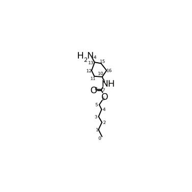 CCCCCCOC(=O)NC1CCC(N)CC1